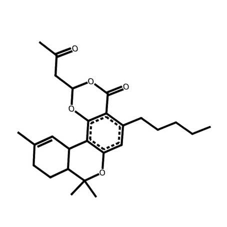 CCCCCc1cc2c(c3c1C(=O)OC(CC(C)=O)O3)C1C=C(C)CCC1C(C)(C)O2